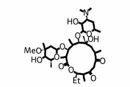 CC[C@H]1OC(=O)C(C)[C@@H](OC2C[C@@](C)(OC)C(O)[C@H](C)O2)C(C)[C@@H](OC2OC(C)C[C@H](N(C)C)C2O)[C@](C)(O)CC(C)C(=O)CC(=O)C1C